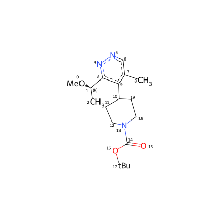 CO[C@H](C)c1nncc(C)c1C1CCN(C(=O)OC(C)(C)C)CC1